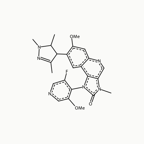 COc1cc2ncc3c(c2cc1C1C(C)=NN(C)C1C)n(-c1c(F)cncc1OC)c(=O)n3C